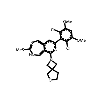 COc1cc(OC)c(Cl)c(-c2cc3c(c(N4CC5(CCOC5)C4)n2)=CNC(SC)=NC=3)c1Cl